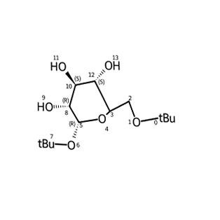 CC(C)(C)OCC1O[C@H](OC(C)(C)C)[C@H](O)[C@@H](O)[C@@H]1O